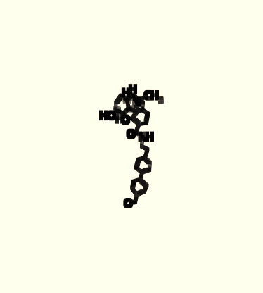 CN1CC[C@]23c4c5ccc(C(=O)NCCc6ccc(-c7ccc(C=O)cc7)cc6)c4O[C@H]2[C@@H](O)C=C[C@H]3[C@H]1C5